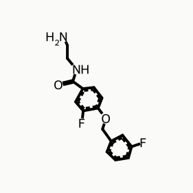 NCCNC(=O)c1ccc(OCc2cccc(F)c2)c(F)c1